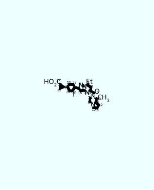 CCc1cc(C(=O)N2CCn3cccc3[C@@H]2C)nc2cc(-c3ccc([C@H]4C[C@@H]4C(=O)O)cc3F)nn12